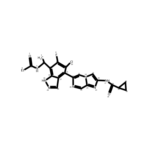 CCC(=O)NC(C)c1c(F)c(Cl)c(-c2cn3cc(NC(=O)C4CC4)nc3cn2)c2cn[nH]c12